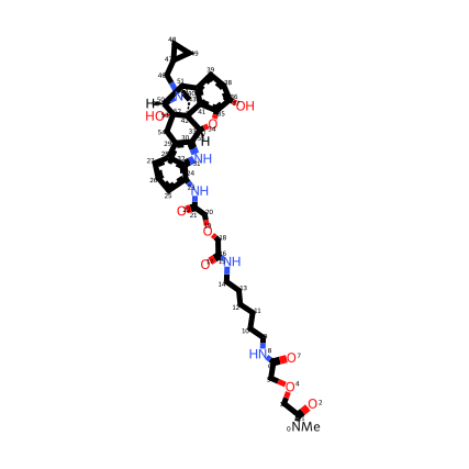 CNC(=O)COCC(=O)NCCCCCCNC(=O)COCC(=O)Nc1cccc2c3c([nH]c12)[C@@H]1Oc2c(O)ccc4c2[C@@]12CCN(CC1CC1)[C@@H](C4)[C@]2(O)C3